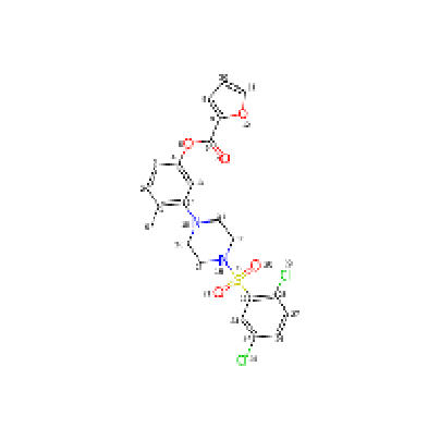 Cc1ccc(OC(=O)c2ccco2)cc1N1CCN(S(=O)(=O)c2cc(Cl)ccc2Cl)CC1